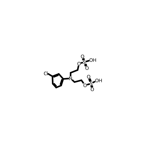 O=S(=O)(O)OCCN(CCOS(=O)(=O)O)c1cccc(Cl)c1